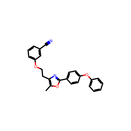 Cc1oc(-c2ccc(Oc3ccccc3)cc2)nc1CCOc1[c]c(C#N)ccc1